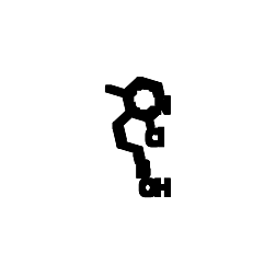 Cc1ccnc(Cl)c1/C=C\C=B\O